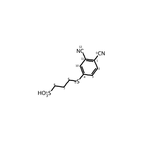 N#Cc1ccc(SCCCS(=O)(=O)O)cc1C#N